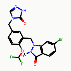 Cn1c(=O)c2ccc(Br)cc2n1Cc1cc(Cn2cn[nH]c2=O)ccc1OC(F)F